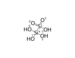 O=S(=O)(O)[Si](O)(O)O